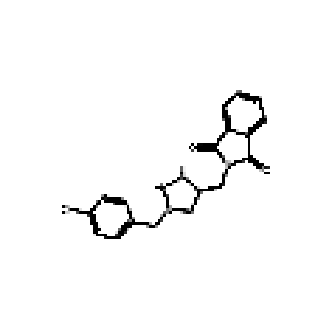 O=C1c2ccccc2C(=O)N1CC1CN(Cc2ccc(Cl)cc2)NN1